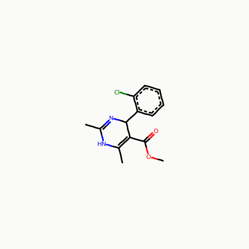 COC(=O)C1=C(C)NC(C)=NC1c1ccccc1Cl